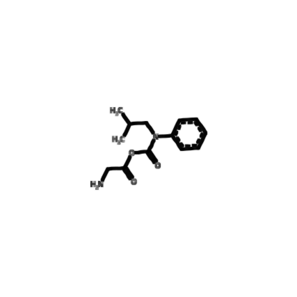 CC(C)CN(C(=O)OC(=O)CN)c1ccccc1